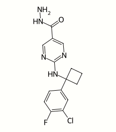 NNC(=O)c1cnc(NC2(c3ccc(F)c(Cl)c3)CCC2)nc1